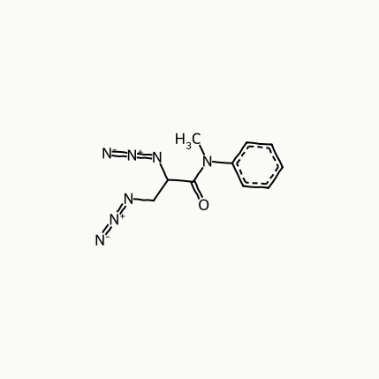 CN(C(=O)C(CN=[N+]=[N-])N=[N+]=[N-])c1ccccc1